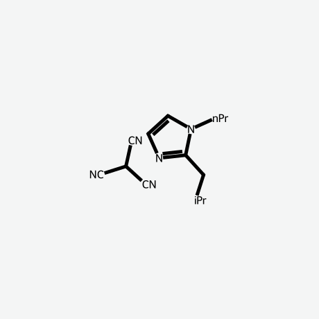 CCCn1ccnc1CC(C)C.N#CC(C#N)C#N